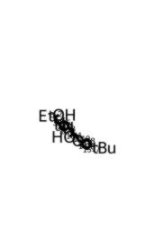 CCC(O)CN1CCN(CC(O)COc2ccc(C(C)(C)C)cc2)CC1